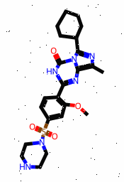 COc1cc(S(=O)(=O)N2CCNCC2)ccc1-c1nc2c(C)nc(C3CCCCC3)n2c(=O)[nH]1